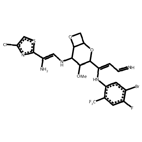 COC1C(/C(=C/C=N)Nc2cc(Br)c(F)cc2C(F)(F)F)OC2COC2C1N/C=C(\N)c1nc(Cl)cs1